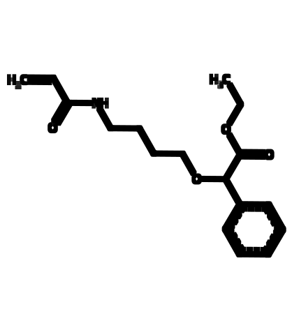 C=CC(=O)NCCCCOC(C(=O)OCC)c1ccccc1